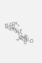 CC(C)(C)OC(=O)N1CCN(c2cc3c(cc2F)n2c(=O)n(OCc4ccccc4)c(=O)cc2n3C2CC2)CC1